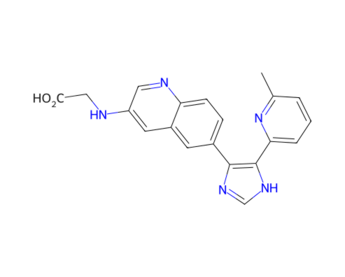 Cc1cccc(-c2[nH]cnc2-c2ccc3ncc(NCC(=O)O)cc3c2)n1